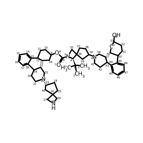 CC(C)(C)[C@H]1N(C(=O)OC2CCC(c3ccccc3C3CCN([C@@H]4CCC5(CNC5)C4)CC3)CC2)CC12CCC(N1CCC(c3ccccc3C3CCC(O)CC3)CC1)C2